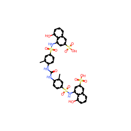 Cc1cc(S(=O)(=O)Nc2cc(S(=O)(=O)O)cc3cccc(O)c23)ccc1NC(=O)Nc1ccc(S(=O)(=O)Nc2cc(S(=O)(=O)O)cc3cccc(O)c23)cc1C